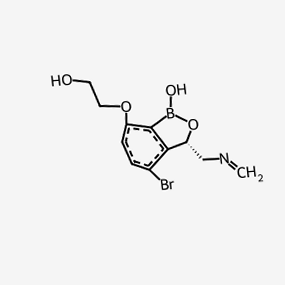 C=NC[C@H]1OB(O)c2c(OCCO)ccc(Br)c21